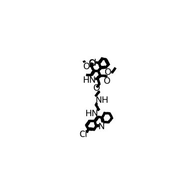 CCOC(=O)C1=C(COCCNCCNc2c3c(nc4cc(Cl)ccc24)CCCC3)NC(C)=C(C(=O)OC)C1c1ccccc1Cl